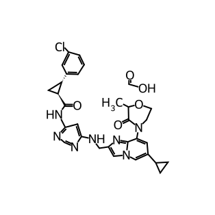 CC1OCCN(c2cc(C3CC3)cn3cc(CNc4cc(NC(=O)[C@H]5C[C@@H]5c5cccc(Cl)c5)ncn4)nc23)C1=O.O=CO